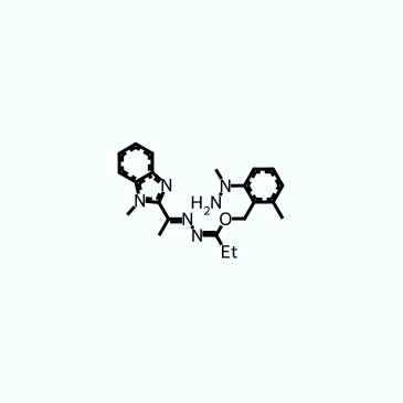 CCC(=NN=C(C)c1nc2ccccc2n1C)OCc1c(C)cccc1N(C)N